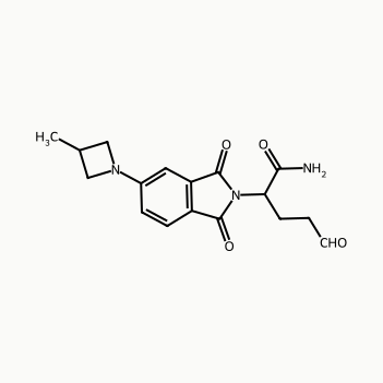 CC1CN(c2ccc3c(c2)C(=O)N(C(CCC=O)C(N)=O)C3=O)C1